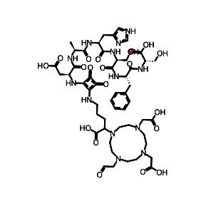 C[C@H](NC(=O)[C@H](CC(=O)O)Nc1c(NCCCC(C(=O)O)N2CCN(CC=O)CCN(CC(=O)O)CCN(CC(=O)O)CC2)c(=O)c1=O)C(=O)N[C@@H](Cc1c[nH]cn1)C(=O)N[C@@H](CO)C(=O)N[C@@H](Cc1ccccc1)C(=O)N[C@@H](CO)C(=O)O